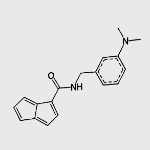 CN(C)c1cccc(CNC(=O)C2=CC=C3C=CC=C32)c1